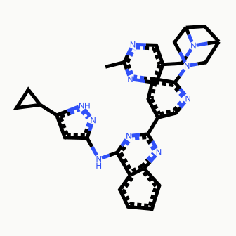 Cc1ncc(CN2C3CC2CN(c2ccc(-c4nc(Nc5cc(C6CC6)[nH]n5)c5ccccc5n4)cn2)C3)cn1